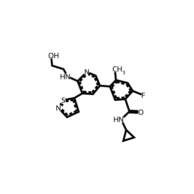 Cc1cc(F)c(C(=O)NC2CC2)cc1-c1cnc(NCCO)c(-c2ccns2)c1